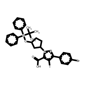 CC(C)(C)[Si](OC1CCC(n2nc(-c3ccc(Br)cc3)c(I)c2C(=O)O)C1)(c1ccccc1)c1ccccc1